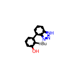 CCCCc1c(O)cccc1-c1cccc2[nH]nnc12